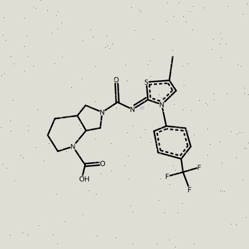 Cc1cn(-c2ccc(C(F)(F)F)cc2)/c(=N/C(=O)N2CC3CCCN(C(=O)O)C3C2)s1